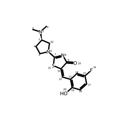 CN(C)[C@@H]1CCN(C2=NC(=O)/C(=C\c3cc(F)ccc3O)S2)C1